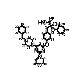 CC(Cc1ccc(Oc2cc(N3CCN(Cc4ccccc4)CC3)nc(N3CCOCC3)n2)cc1)(Oc1ccccc1)C(=O)O